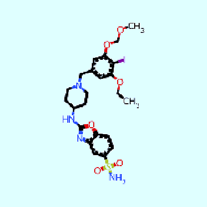 CCOc1cc(CN2CCC(Nc3nc4cc(S(N)(=O)=O)ccc4o3)CC2)cc(OCOC)c1I